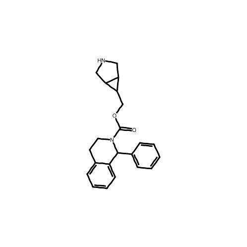 O=C(OCC1C2CNCC21)N1CCc2ccccc2C1c1ccccc1